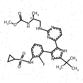 COC(=O)N[C@@H](C)CNc1nccc(-c2[nH]c(C(C)(C)C)nc2-c2cccc(NS(=O)(=O)C3CC3)c2F)n1